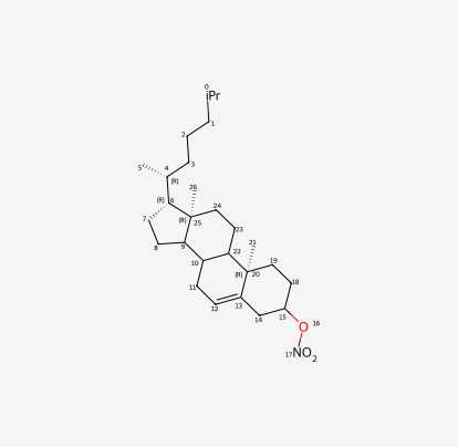 CC(C)CCC[C@@H](C)[C@H]1CCC2C3CC=C4CC(O[N+](=O)[O-])CC[C@]4(C)C3CC[C@@]21C